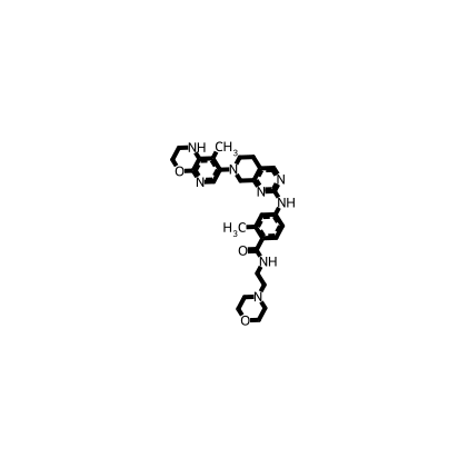 Cc1cc(Nc2ncc3c(n2)CN(c2cnc4c(c2C)NCCO4)CC3)ccc1C(=O)NCCN1CCOCC1